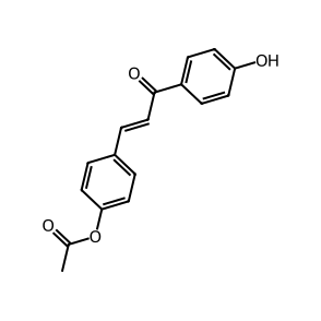 CC(=O)Oc1ccc(/C=C/C(=O)c2ccc(O)cc2)cc1